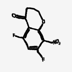 O=C1CCOc2c1c(F)cc(F)c2[N+](=O)[O-]